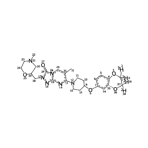 [2H]C1([2H])Oc2ccc(OC3CCN(c4nc5nn(CC6CN(C)CCO6)c(=O)n5cc4C)CC3)cc2OC1([2H])[2H]